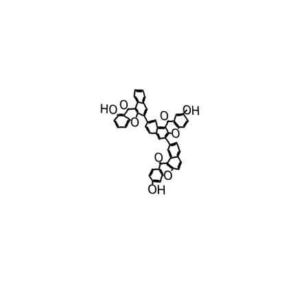 O=c1c2ccc(O)cc2oc2ccc3ccc(-c4cc5ccc(-c6cc7ccccc7c7c(=O)c8c(O)cccc8oc67)cc5c5c(=O)c6cc(O)ccc6oc45)cc3c12